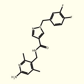 Cc1cc(N)nc(C)c1CNC(=O)c1cnn(Cc2ccc(F)c(F)c2)c1